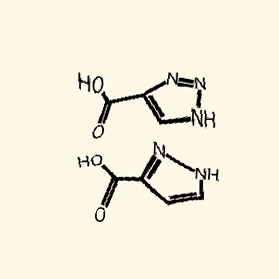 O=C(O)c1c[nH]nn1.O=C(O)c1cc[nH]n1